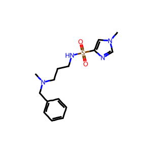 CN(CCCNS(=O)(=O)c1cn(C)cn1)Cc1ccccc1